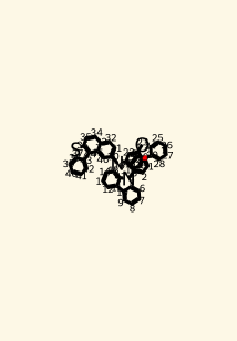 c1ccc(-n2c3ccccc3c3cccc(N(c4ccc5c(c4)oc4ccccc45)c4ccc5ccc6sc7ccccc7c6c5c4)c32)cc1